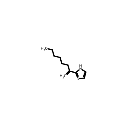 C=C(CCCCCC)c1ncc[nH]1